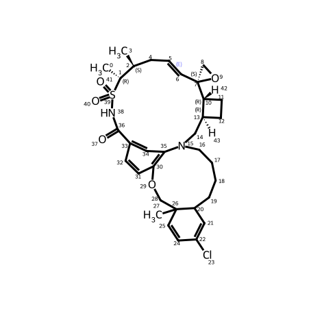 C[C@@H]1[C@@H](C)C/C=C/[C@]2(CO2)[C@@H]2CC[C@H]2CN2CCCCC3C=C(Cl)C=CC3(C)COc3ccc(cc32)C(=O)NS1(=O)=O